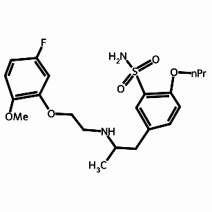 CCCOc1ccc(CC(C)NCCOc2cc(F)ccc2OC)cc1S(N)(=O)=O